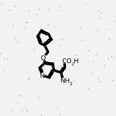 N/C(=C/C(=O)O)c1cncc(OCc2ccccc2)c1